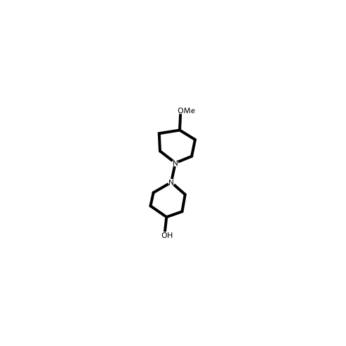 COC1CCN(N2CCC(O)CC2)CC1